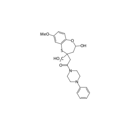 COc1ccc2c(c1)SC(CC(=O)N1CCN(c3ccccc3)CC1)(C(=O)O)CC(O)O2